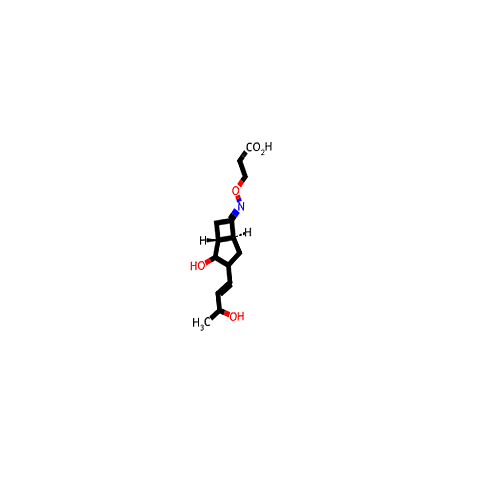 CC(O)C=CC1C[C@@H]2C(=NOCCC(=O)O)C[C@H]2C1O